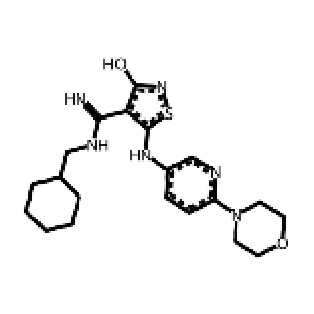 N=C(NCC1CCCCC1)c1c(O)nsc1Nc1ccc(N2CCOCC2)nc1